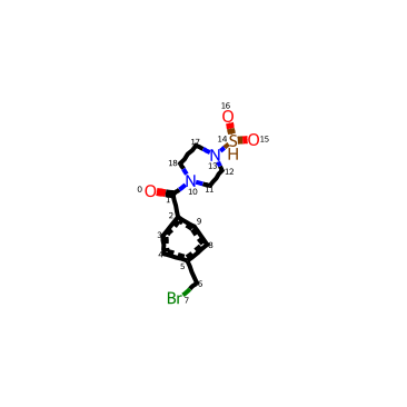 O=C(c1ccc(CBr)cc1)N1CCN([SH](=O)=O)CC1